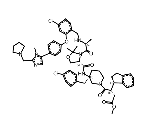 COC(=O)C[C@H](C(=O)N1CCC[C@](Cc2ccc(Cl)cc2)(NC(=O)[C@@H]2COC(C)(C)N2C(=O)[C@H](C)NCc2ccc(Cl)cc2Oc2ccc(-c3cnc(CN4CCCC4)n3C)cc2)C1)[C@H]1CCc2ccccc21